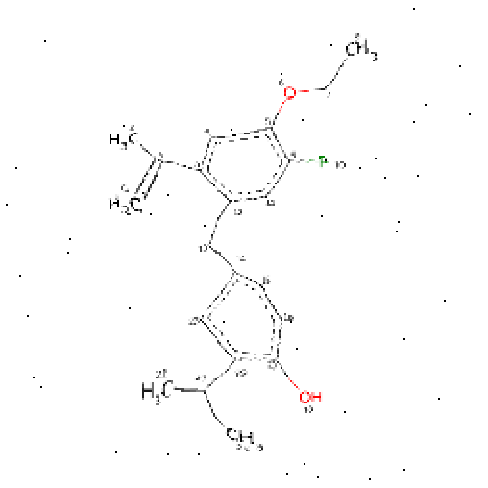 C=C(C)c1cc(OCC)c(F)cc1Cc1ccc(O)c(C(C)C)c1